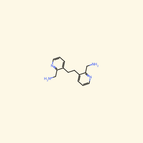 NCc1ncccc1CCc1cccnc1CN